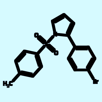 Cc1ccc(S(=O)(=O)n2cccc2-c2ccc(Br)cc2)cc1